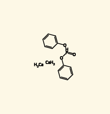 O=[PH](Oc1ccccc1)Oc1ccccc1.[CaH2].[CaH2]